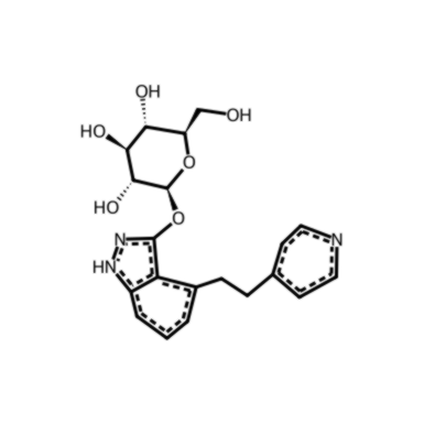 OC[C@H]1O[C@@H](Oc2n[nH]c3cccc(CCc4ccncc4)c23)[C@H](O)[C@@H](O)[C@@H]1O